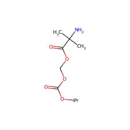 CC(C)OC(=O)OCOC(=O)C(C)(C)N